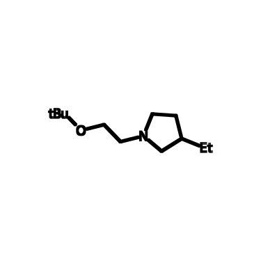 CCC1CCN(CCOC(C)(C)C)C1